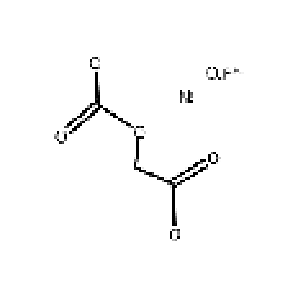 O=C([O-])COC(=O)[O-].[Cu+2].[N]